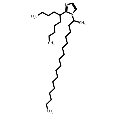 CCCCCCCCCCCCCCCCC(C)n1ccnc1C(CCCC)CCCCC